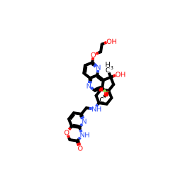 CC(O)(CC12CCC(NCc3ccc4c(n3)NC(=O)CO4)(CC1)CO2)c1c(F)cnc2ccc(OCCO)nc12